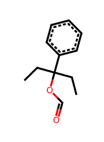 CCC(CC)(OC=O)c1ccccc1